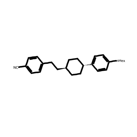 CCCCCCc1ccc([C@H]2CC[C@H](CCc3ccc(C#N)cc3)CC2)cc1